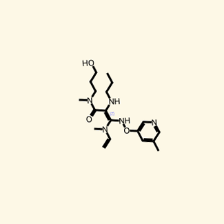 C=CN(C)/C(NOc1cncc(C)c1)=C(/NCCC)C(=O)N(C)CCCO